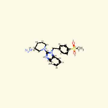 CS(=O)(=O)c1ccc(Cn2c(N3CCC[C@@H](N)C3)nc3ccccc32)cc1